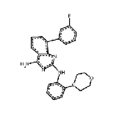 Nc1nc(Nc2ccccc2N2CCOCC2)nc2c(-c3cccc(F)c3)cccc12